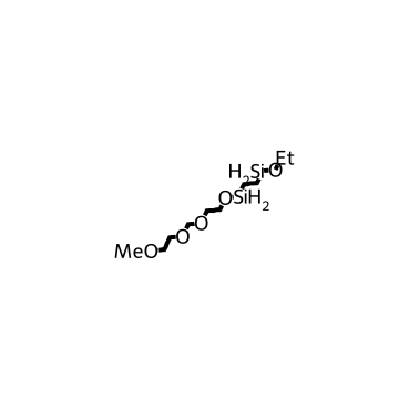 CCO[SiH2]CC[SiH2]OCCOCOCCOC